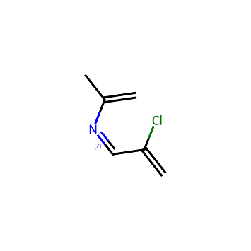 C=C(Cl)/C=N\C(=C)C